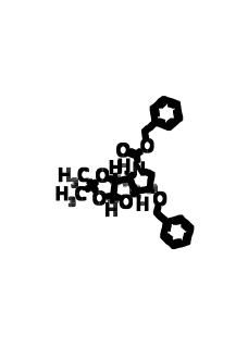 CC1(C)O[C@H]2O[C@H]3[C@@H]([C@H]2O1)N(C(=O)OCc1ccccc1)C[C@@H]3OCc1ccccc1